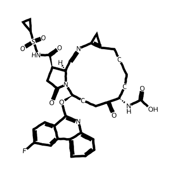 O=C(O)N[C@H]1CCCCC2=C(C2)/N=C\[C@@H]2[C@H](C(=O)NS(=O)(=O)C3CC3)CC(=O)N2[C@H](Oc2nc3ccccc3c3cc(F)ccc23)CCC1=O